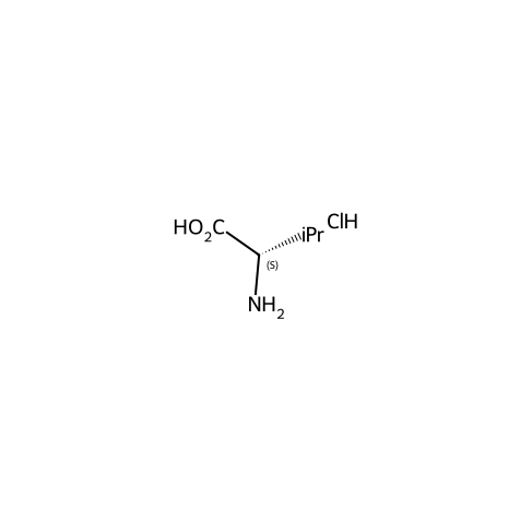 CC(C)[C@H](N)C(=O)O.Cl